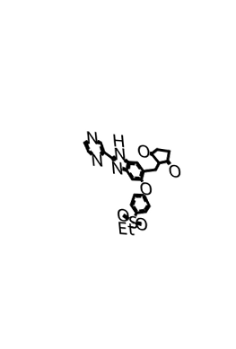 CCS(=O)(=O)c1ccc(Oc2cc3nc(-c4cnccn4)[nH]c3cc2CC2C(=O)CCC2=O)cc1